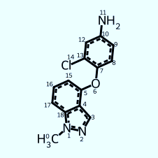 Cn1ncc2c(Oc3ccc(N)cc3Cl)cccc21